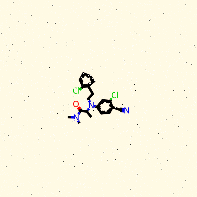 CC(C(=O)N(C)C)N(CCc1ccccc1Cl)c1ccc(C#N)c(Cl)c1